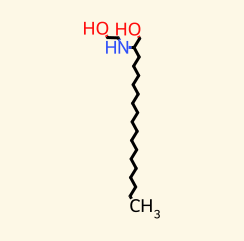 CCCCCCCCCCCCCCCCCC(CO)NCCO